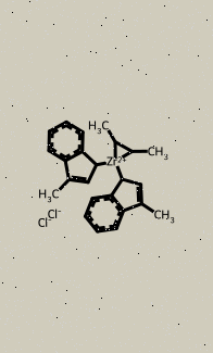 CC1=C[CH]([Zr+2]2([CH]3C=C(C)c4ccccc43)[CH](C)[CH]2C)c2ccccc21.[Cl-].[Cl-]